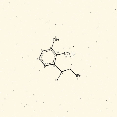 CC(C)CC(C)c1cccc(O)c1C(=O)O